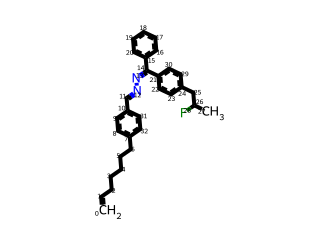 C=CCCCCCc1ccc(C=NN=C(c2ccccc2)c2ccc(CC(C)F)cc2)cc1